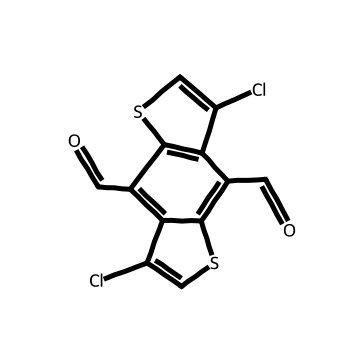 O=Cc1c2scc(Cl)c2c(C=O)c2scc(Cl)c12